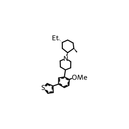 CC[C@@H]1CC[C@@H](C)[C@@H](N2CCC(c3cc(-c4ccsc4)ccc3OC)CC2)C1